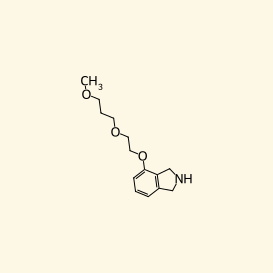 COCCCOCCOc1cccc2c1CNC2